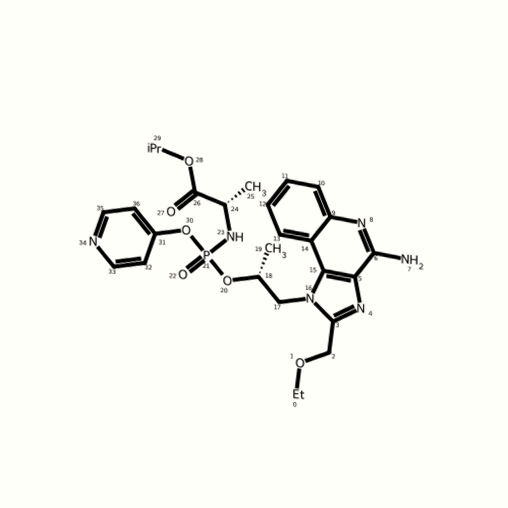 CCOCc1nc2c(N)nc3ccccc3c2n1C[C@@H](C)OP(=O)(N[C@@H](C)C(=O)OC(C)C)Oc1ccncc1